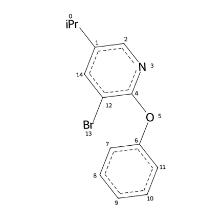 CC(C)c1cnc(Oc2ccccc2)c(Br)c1